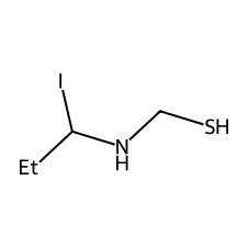 CCC(I)NCS